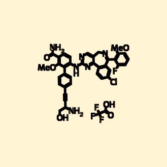 COc1cccc(F)c1C1=NCc2cnc(Nc3ccc(C(N)=O)c(OC)c3-c3ccc(C#CC(N)CO)cc3)nc2-c2ccc(Cl)cc21.O=C(O)C(F)(F)F